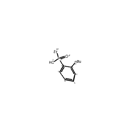 CCCCc1ccccc1P(=O)(O)CC